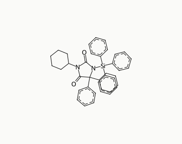 O=C1N(C2CCCCC2)C(=O)C(c2ccccc2)(C2CCCCC2)N1[Si](c1ccccc1)(c1ccccc1)c1ccccc1